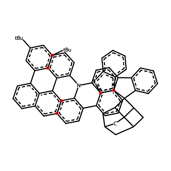 CC(C)(C)c1cc(-c2cccc3cccc(-c4ccccc4N(c4ccc5c(c4)C4(c6ccccc6-5)C5CC6CC7CC4C75C6)c4ccccc4-c4cccc5c4sc4ccccc45)c23)cc(C(C)(C)C)c1